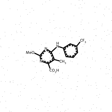 COc1nc(Nc2cccc(C(F)(F)F)c2)c(C)c(C(=O)O)n1